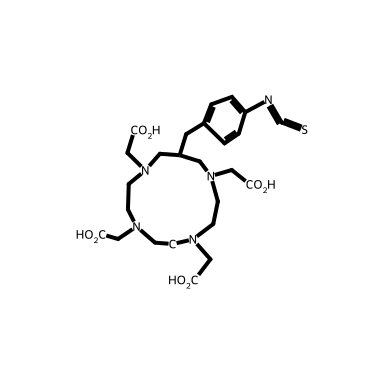 O=C(O)CN1CCN(CC(=O)O)CCN(CC(=O)O)CC(Cc2ccc(N=C=S)cc2)CN(CC(=O)O)CC1